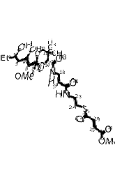 CCC(O)CC(O)CC1(OC)OCC(C)(C)[C@H](C(=O)NCCC(=O)NCCSC(=O)/C=C/C(=O)OC)O1